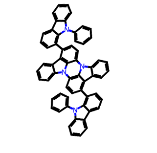 c1ccc(-n2c3ccccc3c3cccc(-c4ccc5c6c4c4ccccc4n6c4ccc(-c6cccc7c8ccccc8n(-c8ccccc8)c67)c6c7ccccc7n5c64)c32)cc1